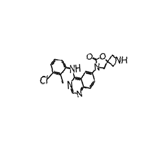 Cc1c(Cl)cccc1Nc1ncnc2ccc(N3CC4(CNC4)OC3=O)cc12